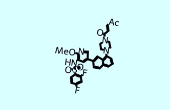 COc1ncc(-c2ccc3cccc(N4CCN(C(=O)C=CC(C)=O)CC4)c3c2)cc1NS(=O)(=O)c1ccc(F)cc1F